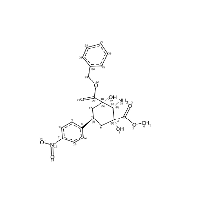 COC(=O)[C@@]1(O)C[C@@H](c2ccc([N+](=O)[O-])cc2)C[C@@](O)(C(=O)OCc2ccccc2)[C@@H]1N